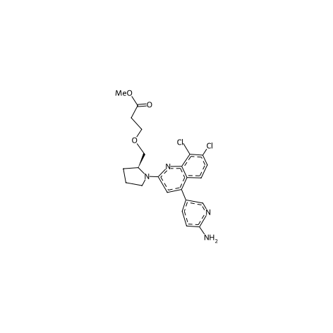 COC(=O)CCOC[C@@H]1CCCN1c1cc(-c2ccc(N)nc2)c2ccc(Cl)c(Cl)c2n1